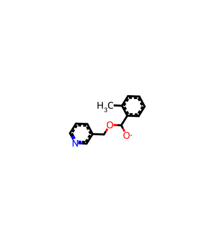 Cc1ccccc1C([O])OCc1cccnc1